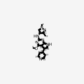 COc1nc(Nc2cn(C)nc2C)nc2[nH]cc(-c3ccncc3)c12